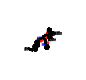 COc1ccc(C(OCCC(CCNC(=O)O[C@H]2CC[C@@]3(C)C(=CCC4C5CCC([C@@H](C)CCCC(C)C)[C@@]5(C)CCC43)C2)OC(=O)CCC(=O)NC2CCCCC2)(c2ccccc2)c2ccc(OC)cc2)cc1